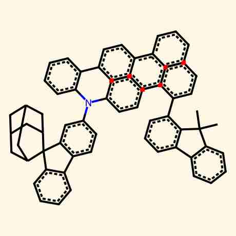 CC1(C)c2ccccc2-c2cccc(-c3ccccc3-c3ccc(N(c4ccc5c(c4)C4(c6ccccc6-5)C5CC6CC(C5)CC4C6)c4ccccc4-c4ccc5c(ccc6ccccc65)c4)cc3)c21